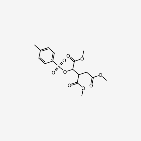 COC(=O)CC(C(=O)OC)C(OS(=O)(=O)c1ccc(C)cc1)C(=O)OC